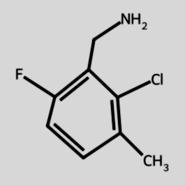 Cc1ccc(F)c(CN)c1Cl